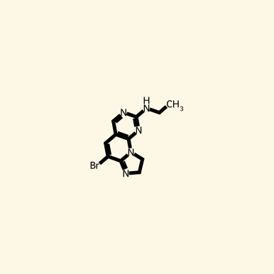 CCNc1ncc2c(n1)N1CCN=C1C(Br)=C2